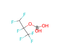 OB(O)OC(F)(C(F)F)C(F)(F)F